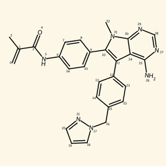 C=C(C)C(=O)Nc1ccc(-c2c(-c3ccc(Cn4cccn4)cc3)c3c(N)ncnc3n2C)cc1